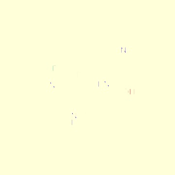 Cc1ccc2nc(C(C)(F)F)cc(N[C@H]3CCCC(NC(O)c4cn(C)cc4C)C3)c2c1